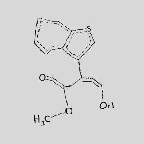 COC(=O)C(=CO)c1csc2ccccc12